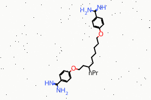 CCCC(CCCCCCOc1ccc(C(=N)N)cc1)CCOc1ccc(C(=N)N)cc1